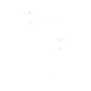 Cl.Nc1cc(Oc2ccc(NC(=O)NC(=O)Cc3ccc(F)cc3)cc2Cl)ccn1